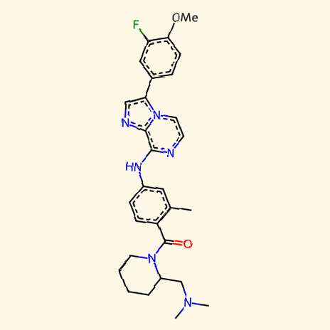 COc1ccc(-c2cnc3c(Nc4ccc(C(=O)N5CCCCC5CN(C)C)c(C)c4)nccn23)cc1F